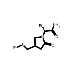 CC[C@@H](C(N)=O)N1CC(CSC(C)C)CC1=O